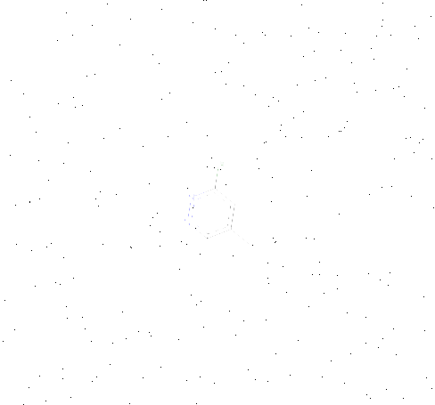 Cc1cnnc(Br)c1